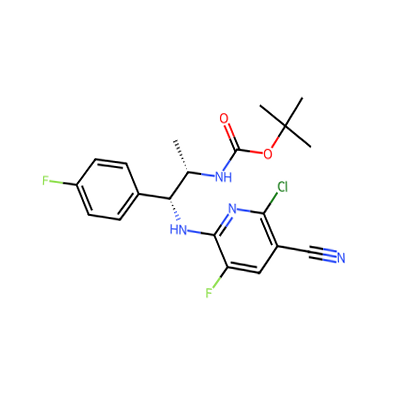 C[C@H](NC(=O)OC(C)(C)C)[C@H](Nc1nc(Cl)c(C#N)cc1F)c1ccc(F)cc1